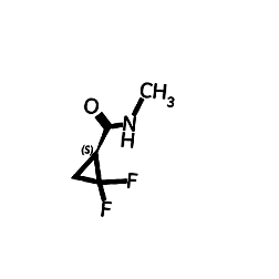 CNC(=O)[C@@H]1CC1(F)F